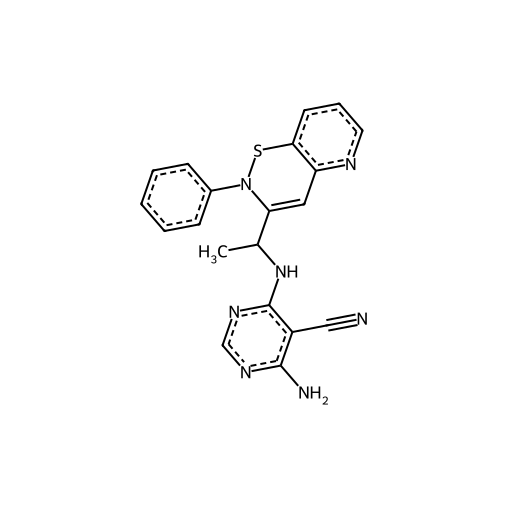 CC(Nc1ncnc(N)c1C#N)C1=Cc2ncccc2SN1c1ccccc1